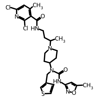 Cc1cc(NC(=O)N(Cc2ccsc2)C2CCN(C(C)CCNC(=O)c3c(C)cc(Cl)nc3Cl)CC2)no1